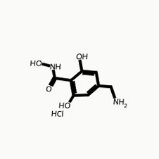 Cl.NCc1cc(O)c(C(=O)NO)c(O)c1